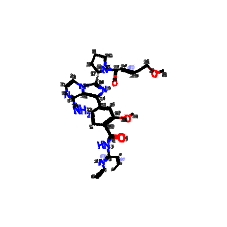 C=C/N=C(\C=C/C)NC(=O)c1ccc(-c2nc([C@@H]3CCCN3C(=O)/C=C/COC)n3ccnc(N)c23)cc1OC